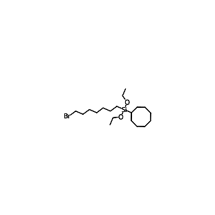 CCO[Si](CCCCCCCBr)(OCC)C1CCCCCCC1